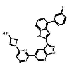 NC1CN(c2cncc(-c3cnc4[nH]nc(-c5cc6c(-c7cccc(F)c7)cccc6[nH]5)c4c3)n2)C1